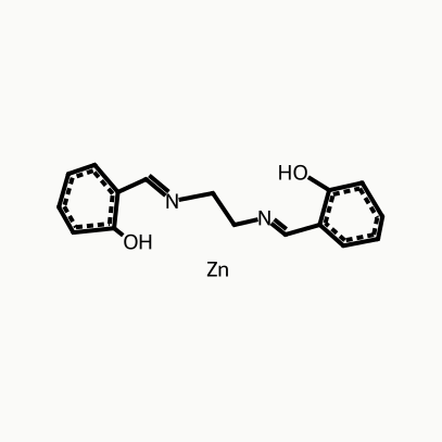 Oc1ccccc1C=NCCN=Cc1ccccc1O.[Zn]